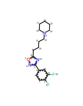 Fc1ccc(-c2noc(CCCCN3CCCCC3)n2)cc1F